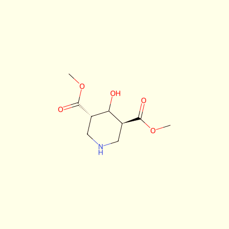 COC(=O)[C@H]1CNC[C@H](C(=O)OC)C1O